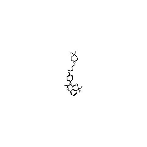 Cc1nc2cccc(C(F)(F)F)c2c(=O)n1-c1ccc(OCCCN2CCC(F)(F)CC2)cc1